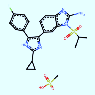 CC(C)S(=O)(=O)n1c(N)nc2ccc(-c3nc(C4CC4)[nH]c3-c3ccc(F)cc3)cc21.CS(=O)(=O)O